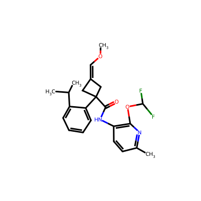 COC=C1CC(C(=O)Nc2ccc(C)nc2OC(F)F)(c2ccccc2C(C)C)C1